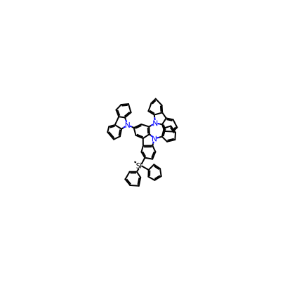 C[Si](c1ccccc1)(c1ccccc1)c1ccc2c(c1)c1cc(-n3c4ccccc4c4ccccc43)cc(-n3c4ccccc4c4ccccc43)c1n2-c1ccccc1